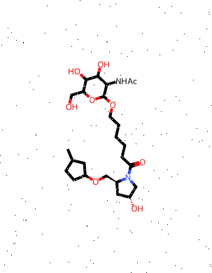 CC(=O)NC1C(OCCCCCC(=O)N2C[C@H](O)C[C@H]2COC2CCC(C)C2)OC(CO)C(O)C1O